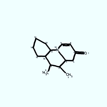 CC1C(C)C2CC(=O)C=CN2C2CCCCC12